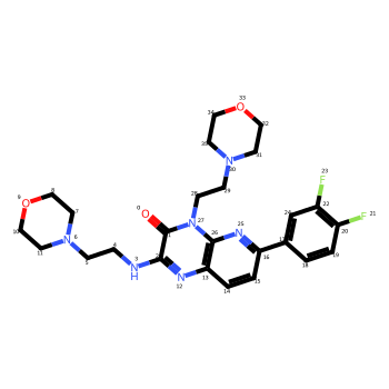 O=c1c(NCCN2CCOCC2)nc2ccc(-c3ccc(F)c(F)c3)nc2n1CCN1CCOCC1